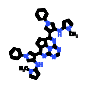 Cn1cccc1Nc1cn(-c2ccccc2)cc1-c1nc2ncnc3nc(-c4cn(-c5ccccc5)cc4Nc4cccn4C)c4ccc1c4n23